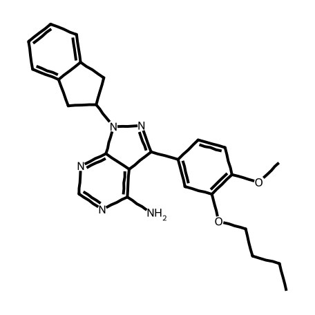 CCCCOc1cc(-c2nn(C3Cc4ccccc4C3)c3ncnc(N)c23)ccc1OC